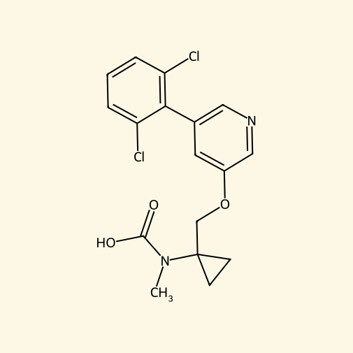 CN(C(=O)O)C1(COc2cncc(-c3c(Cl)cccc3Cl)c2)CC1